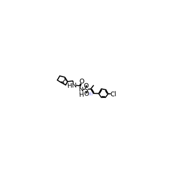 C/C(=C\c1ccc(Cl)cc1)S(=O)(=O)NC(=O)NCC1CC2CCC1O2